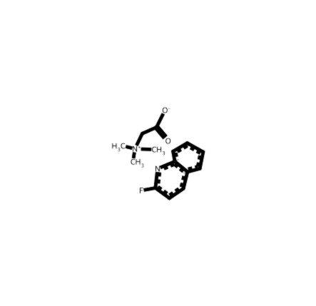 C[N+](C)(C)CC(=O)[O-].Fc1ccc2ccccc2n1